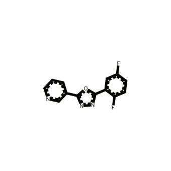 Fc1ccc(F)c(-c2nnc(-c3cccnc3)o2)c1